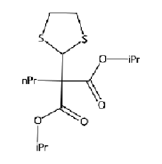 CCCC(C(=O)OC(C)C)(C(=O)OC(C)C)C1SCCS1